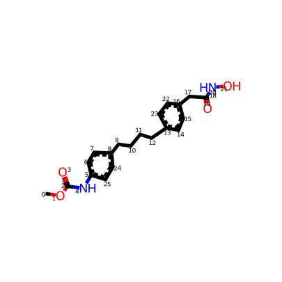 COC(=O)Nc1ccc(CCCCc2ccc(CC(=O)NO)cc2)cc1